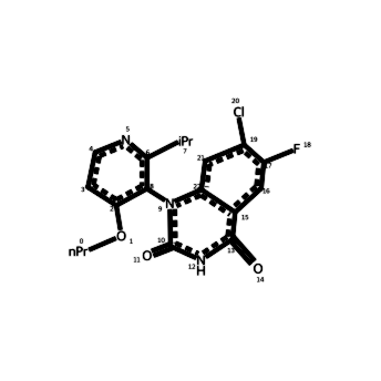 CCCOc1ccnc(C(C)C)c1-n1c(=O)[nH]c(=O)c2cc(F)c(Cl)cc21